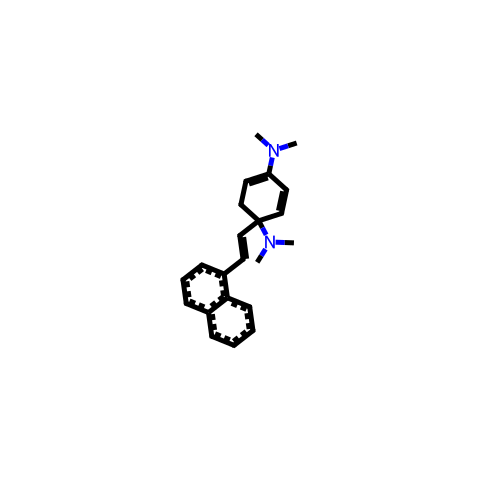 CN(C)C1=CCC(/C=C/c2cccc3ccccc23)(N(C)C)C=C1